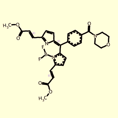 COC(=O)/C=C/C1=NC(=C(/c2ccc(C(=O)N3CCOCC3)cc2)c2ccc(/C=C/C(=O)OC)n2B(F)F)/C=C1